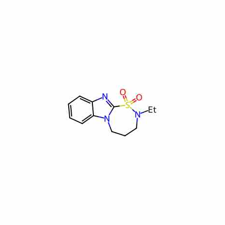 CCN1CCCn2c(nc3ccccc32)S1(=O)=O